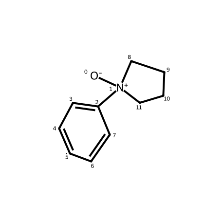 [O-][N+]1(c2cc[c]cc2)CCCC1